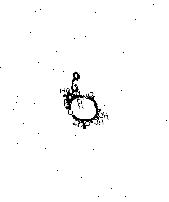 COC1/C=C\OC2(C)Oc3c(C)c(O)c4c(O)c(c5c(c4c3C2=O)NC2(CCN(Cc3ccccc3)CC2)N=5)=NC(=O)/C(C)=C\C=C\C(C)C(O)C(C)C(O)C(C)C(OC(C)=O)C1C